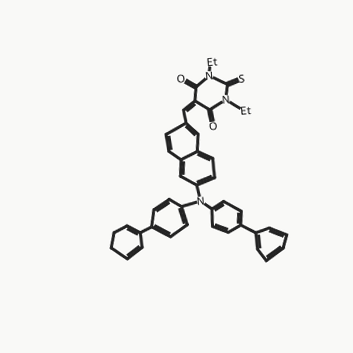 CCN1C(=O)C(=Cc2ccc3cc(N(c4ccc(C5=CCCC=C5)cc4)c4ccc(-c5ccccc5)cc4)ccc3c2)C(=O)N(CC)C1=S